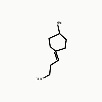 CC(C)(C)C1CCC(=CCCC=O)CC1